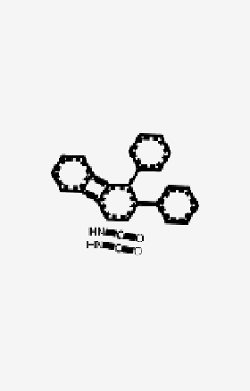 N=C=O.N=C=O.c1ccc(-c2ccc3c(c2-c2ccccc2)=c2ccccc2=3)cc1